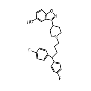 Oc1ccc2onc(C3CCN(CCCC(c4ccc(F)cc4)c4ccc(F)cc4)CC3)c2c1